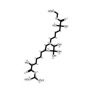 CCCCCCCCCCCOC(=O)C(O)(O)CCCCN(CCCCCCC(O)C(=O)OC(CCCCCCCC)CCCCCCCC)C(O)C(O)(O)O